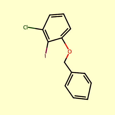 Clc1cccc(OCc2ccccc2)c1I